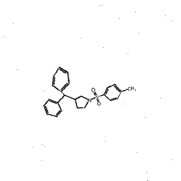 Cc1ccc(S(=O)(=O)N2CCC(C(c3ccccc3)c3ccccc3)C2)cc1